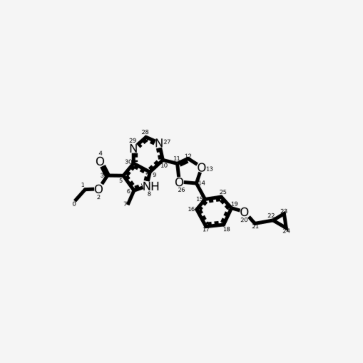 CCOC(=O)c1c(C)[nH]c2c(C3=COC(c4cccc(OCC5CC5)c4)O3)ncnc12